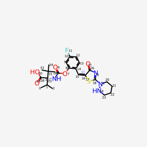 CC(C)[C@@](NC(=O)Oc1cc(F)ccc1/C=C1/SC(N2CCCCN2)=NC1=O)(C(=O)O)C(C)(C)C